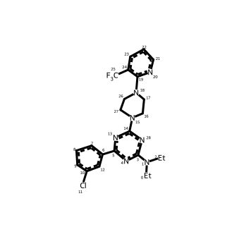 CCN(CC)c1nc(-c2cccc(Cl)c2)nc(N2CCN(c3ncccc3C(F)(F)F)CC2)n1